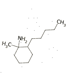 CCCCCC1CCCCC1(C)N